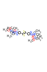 COC(=O)N(C)[C@H](C(=O)N1C[C@@H](C)C[C@H]1c1nc2cc(-c3csc4c(-c5ccc6[nH]c([C@@H]7C[C@H](C)CN7C(=O)[C@H](C(C)C)N(C)C(=O)OC)nc6c5)csc34)ccc2[nH]1)C(C)C